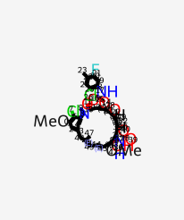 COc1cc2cc(c1Cl)N(C)C(=O)C[C@H](OC(=O)Nc1cc(F)c(C)cc1Cl)[C@]1(C)O[C@H]1[C@H](C)[C@@H]1C[C@@](O)(NC(=O)O1)[C@H](OC)/C=C/C=C(\C)C2